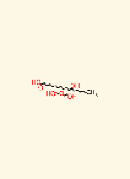 CCCCCCC(O)CCCCCCCCCCC(=O)O.OCCOCCO